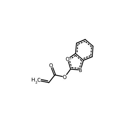 C=CC(=O)Oc1bc2ccccc2o1